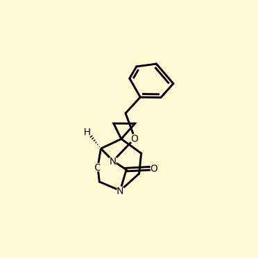 O=C1N2CC[C@H](N1OCc1ccccc1)C1(CC2)CC1